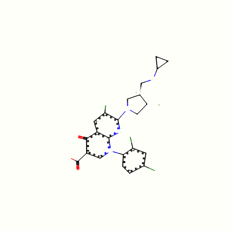 O=C(O)c1cn(-c2ccc(F)cc2F)c2nc(N3C[C@@H](CNC4CC4)[C@H](F)C3)c(F)cc2c1=O